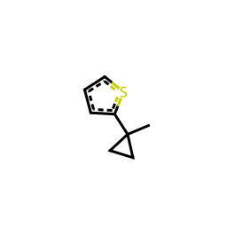 CC1(c2cccs2)CC1